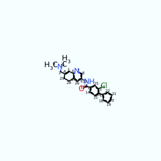 CN(C)CC1=Cc2ncc(NC(=O)c3ccc(-c4ccccc4)c(Cl)c3)cc2CC1